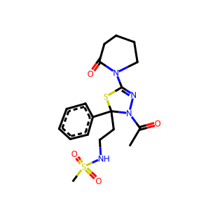 CC(=O)N1N=C(N2CCCCC2=O)SC1(CCNS(C)(=O)=O)c1ccccc1